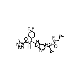 Cc1nonc1C(=O)NC(c1cn2ncc(C(NC(=O)[C@@H](F)CC3CC3)C3CC3)cc2n1)C1CCC(F)(F)CC1